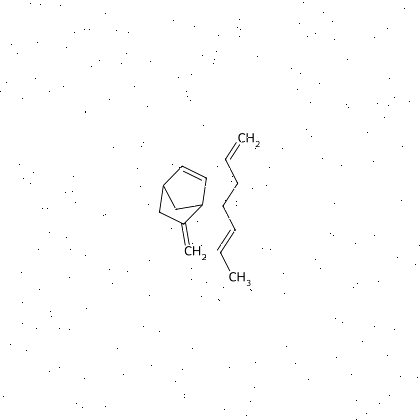 C=C1CC2C=CC1C2.C=CCC/C=C/C